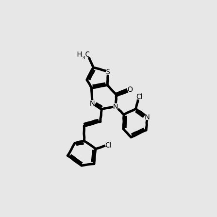 Cc1cc2nc(C=Cc3ccccc3Cl)n(-c3cccnc3Cl)c(=O)c2s1